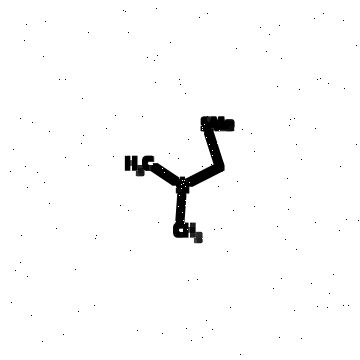 CSC[Si](C)C